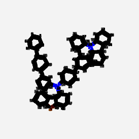 c1ccc(-c2ccc(-c3cccc(N(c4ccc(-c5cccc(-c6ccccc6-n6c7ccccc7c7ccccc76)c5)cc4)c4cccc5sc6ccccc6c45)c3)cc2)cc1